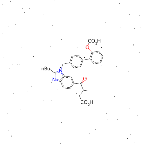 CCCCc1nc2ccc(C(=O)C(C)CC(=O)O)cc2n1Cc1ccc(-c2ccccc2OC(=O)O)cc1